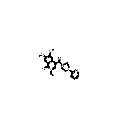 CCn1cc(C(=O)N2CCN(c3ccccn3)CC2)c2cc(OC)c(OC)cc2c1=O